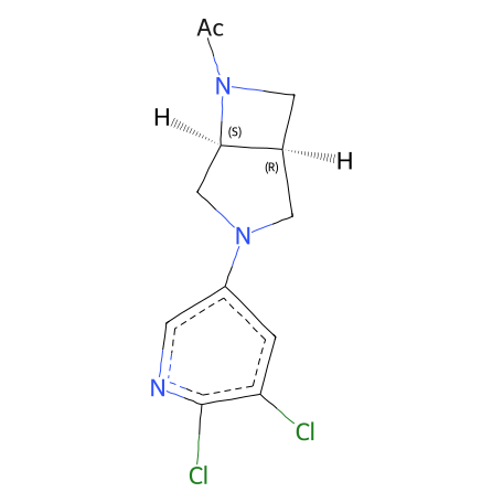 CC(=O)N1C[C@H]2CN(c3cnc(Cl)c(Cl)c3)C[C@H]21